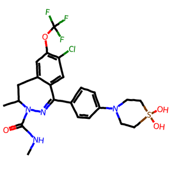 CNC(=O)N1N=C(c2ccc(N3CCS(O)(O)CC3)cc2)c2cc(Cl)c(OC(F)(F)F)cc2CC1C